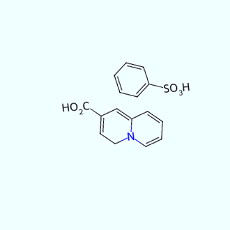 O=C(O)C1=CCN2C=CC=CC2=C1.O=S(=O)(O)c1ccccc1